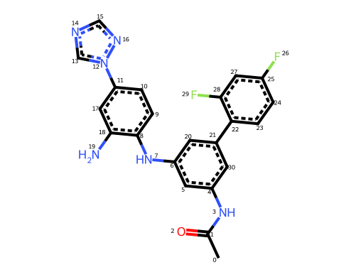 CC(=O)Nc1cc(Nc2ccc(-n3cncn3)cc2N)cc(-c2ccc(F)cc2F)c1